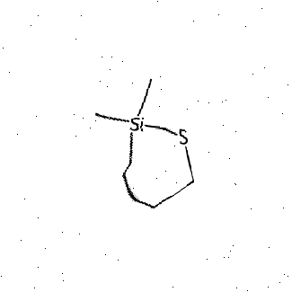 C[Si]1(C)CCCS1